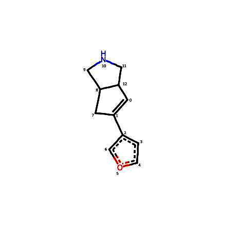 C1=C(c2ccoc2)CC2CNCC12